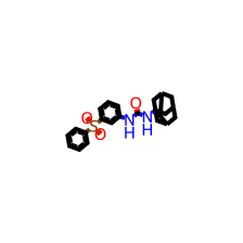 O=C(Nc1cccc(S(=O)(=O)c2ccccc2)c1)NC12CC3CC(CC(C3)C1)C2